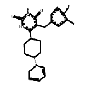 O=c1[nH]c(=O)c(Cc2ccc(F)c(F)c2)c([C@H]2CC[C@H](C3C=CC=CC3)CC2)[nH]1